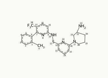 Cc1ccccc1-c1nc(NSc2cccc(N3CCCC(N)C3)n2)ccc1C(F)(F)F